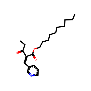 CCCCCCCCCCOC(=O)C(=Cc1cccnc1)C(=O)CC